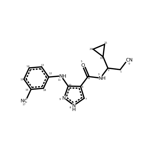 N#CCC(NC(=O)c1c[nH]nc1Nc1cccc(C#N)c1)C1CC1